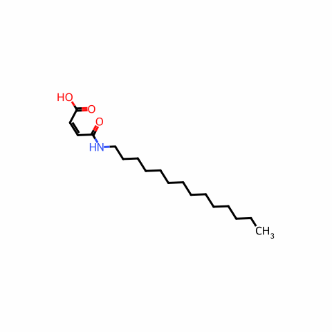 CCCCCCCCCCCCCCNC(=O)/C=C\C(=O)O